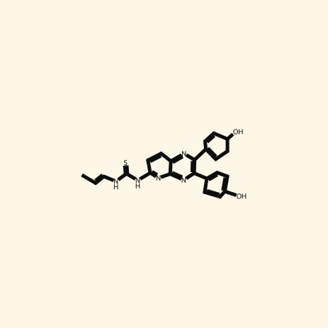 C/C=C/NC(=S)Nc1ccc2nc(C3=CCC(O)C=C3)c(-c3ccc(O)cc3)nc2n1